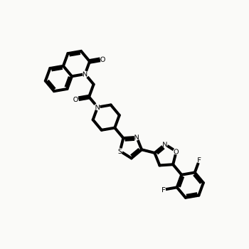 O=C(Cn1c(=O)ccc2ccccc21)N1CCC(c2nc(C3=NOC(c4c(F)cccc4F)C3)cs2)CC1